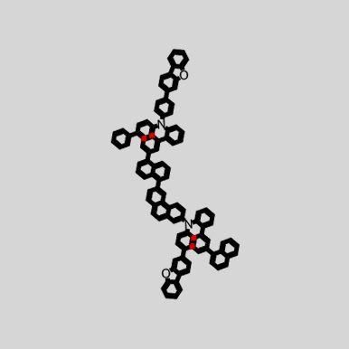 c1ccc(-c2ccc(N(c3ccc(-c4ccc5c(c4)oc4ccccc45)cc3)c3ccccc3-c3cccc(-c4cccc5c(-c6ccc7ccc8cc(N(c9ccc(-c%10ccc%11c(c%10)oc%10ccccc%10%11)cc9)c9ccccc9-c9cccc(-c%10cccc%11ccccc%10%11)c9)ccc8c7c6)cccc45)c3)cc2)cc1